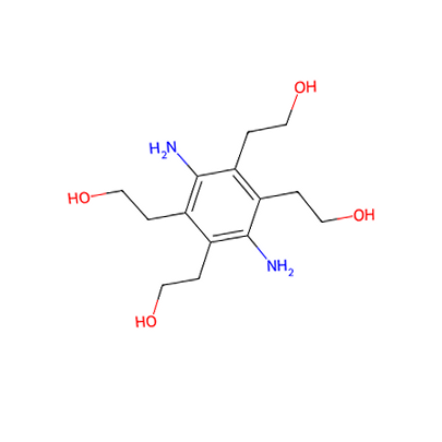 Nc1c(CCO)c(CCO)c(N)c(CCO)c1CCO